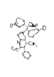 [O-][n+]1cccc(C(O)(c2cccc(Cl)c2)c2ccc3nc(C(F)(F)F)c(-c4ccccc4)c(C(F)(F)F)c3c2)c1